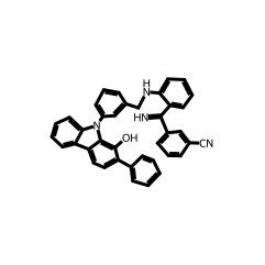 N#Cc1cccc(C(=N)c2ccccc2NCc2cccc(-n3c4ccccc4c4ccc(-c5ccccc5)c(O)c43)c2)c1